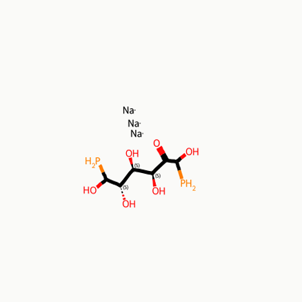 O=C(C(O)P)[C@@H](O)[C@H](O)[C@H](O)C(O)P.[Na].[Na].[Na]